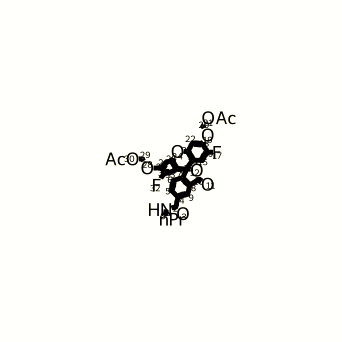 CCCNC(=O)c1ccc2c(c1)C(=O)OC21c2cc(F)c(OCOC(C)=O)cc2Oc2cc(OCOC(C)=O)c(F)cc21